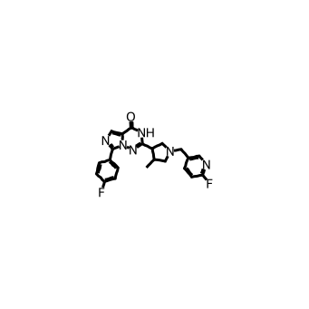 CC1CN(Cc2ccc(F)nc2)CC1c1nn2c(-c3ccc(F)cc3)ncc2c(=O)[nH]1